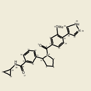 COc1cc(C(=O)N2CCCC2c2cccc(C(=O)NC3CC3)c2)ccc1-c1cn[nH]c1